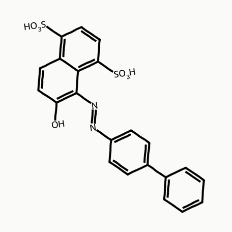 O=S(=O)(O)c1ccc(S(=O)(=O)O)c2c(N=Nc3ccc(-c4ccccc4)cc3)c(O)ccc12